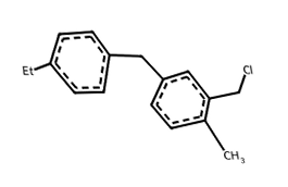 CCc1ccc(Cc2ccc(C)c(CCl)c2)cc1